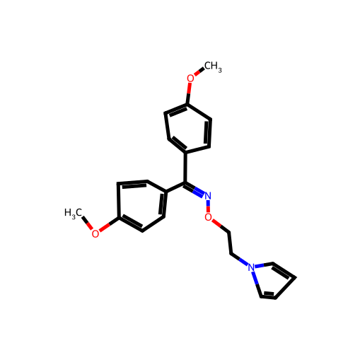 COc1ccc(C(=NOCCn2cccc2)c2ccc(OC)cc2)cc1